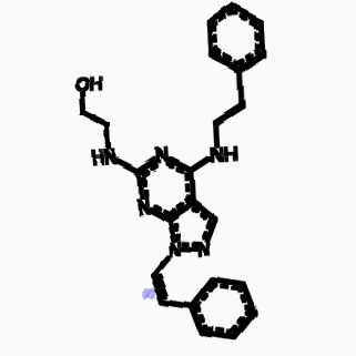 OCCNc1nc(NCCc2ccccc2)c2cnn(/C=C\c3ccccc3)c2n1